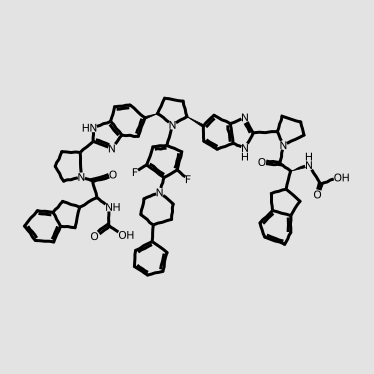 O=C(O)NC(C(=O)N1CCCC1c1nc2cc([C@H]3CC[C@@H](c4ccc5[nH]c(C6CCCN6C(=O)[C@@H](NC(=O)O)C6Cc7ccccc7C6)nc5c4)N3c3cc(F)c(N4CCC(c5ccccc5)CC4)c(F)c3)ccc2[nH]1)C1Cc2ccccc2C1